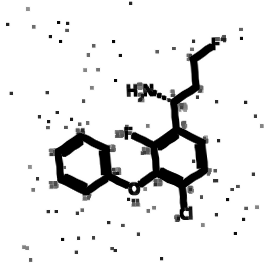 N[C@H](CCF)c1ccc(Cl)c(Oc2ccccc2)c1F